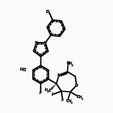 CC1(C)OCC(N)=N[C@](C)(c2cc(-c3cnn(-c4cccc(Cl)c4)c3)ccc2F)C1(F)F.Cl